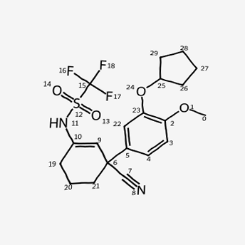 COc1ccc(C2(C#N)C=C(NS(=O)(=O)C(F)(F)F)CCC2)cc1OC1CCCC1